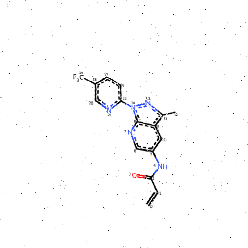 C=CC(=O)Nc1cnc2c(c1)c(C)nn2-c1ccc(C(F)(F)F)cn1